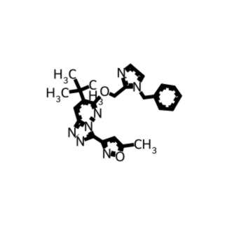 Cc1cc(-c2nnc3cc(C(C)(C)C)c(OCc4nccn4Cc4ccccc4)nn23)no1